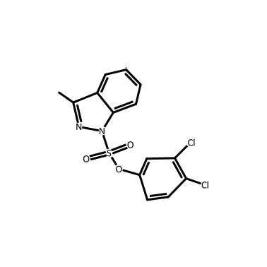 Cc1nn(S(=O)(=O)Oc2ccc(Cl)c(Cl)c2)c2cc[c]cc12